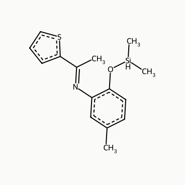 CC(=Nc1cc(C)ccc1O[SiH](C)C)c1cccs1